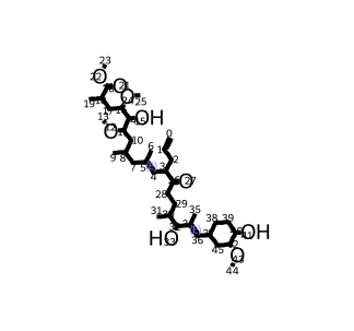 C=CCC(/C=C(\C)CC(C)CC(OC)C(O)C(CC(C)C(=O)OC)OC)C(=O)CCC(C)C(O)/C(C)=C/C1CCC(O)C(OC)C1